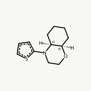 c1csc(N2CCO[C@@H]3CCCC[C@@H]32)c1